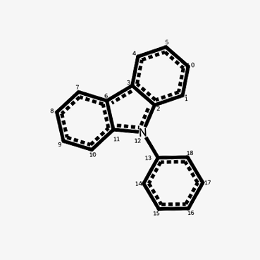 [c]1[c]c2c(cc1)c1ccccc1n2-c1ccccc1